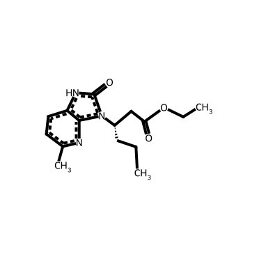 CCC[C@@H](CC(=O)OCC)n1c(=O)[nH]c2ccc(C)nc21